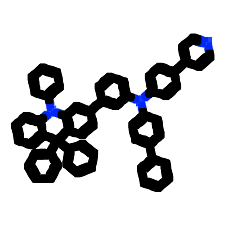 c1ccc(-c2ccc(N(c3ccc(-c4ccncc4)cc3)c3cccc(-c4ccc5c(c4)N(c4ccccc4)c4ccccc4C5(c4ccccc4)c4ccccc4)c3)cc2)cc1